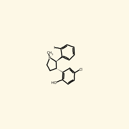 CN1CC[C@@H](c2cc(Cl)ccc2O)[C@@H]1c1ccccc1I